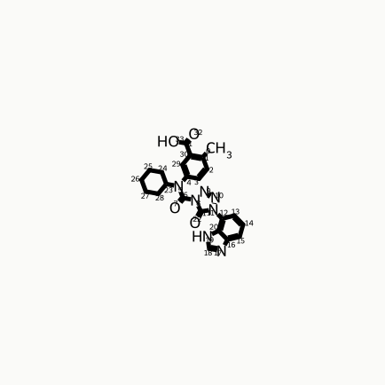 Cc1ccc(N(C(=O)n2nnn(-c3cccc4nc[nH]c34)c2=O)C2CCCCC2)cc1C(=O)O